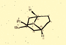 CC(C)CN1[C@@H]2CC[C@H]1CC(C(C)(C)C)C2